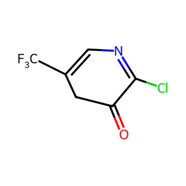 O=C1CC(C(F)(F)F)=CN=C1Cl